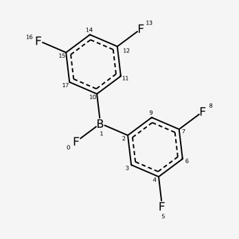 FB(c1cc(F)cc(F)c1)c1cc(F)cc(F)c1